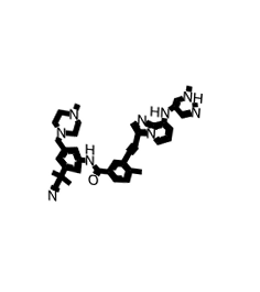 C/N=C\C(=C/NC)Nc1cccn2c(C#Cc3cc(C(=O)Nc4cc(CN5CCN(C)CC5)cc(C(C)(C)C#N)c4)ccc3C)cnc12